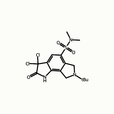 CN(C)S(=O)(=O)c1cc2c(c3c1CN(C(C)(C)C)C3)NC(=O)C2(Cl)Cl